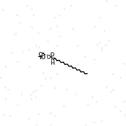 CCCCCCCCCCCCCCCCCNC(=O)OC[C@H]1COC(C)(C)O1